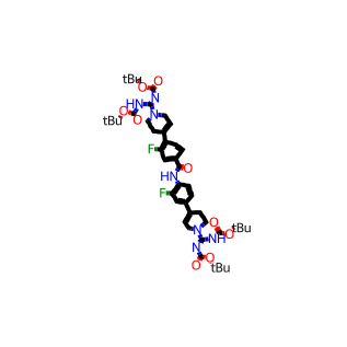 CC(C)(C)OC(=O)N=C(NC(=O)OC(C)(C)C)N1CC=C(c2ccc(NC(=O)c3ccc(C4=CCN(C(=NC(=O)OC(C)(C)C)NC(=O)OC(C)(C)C)CC4)c(F)c3)c(F)c2)CC1